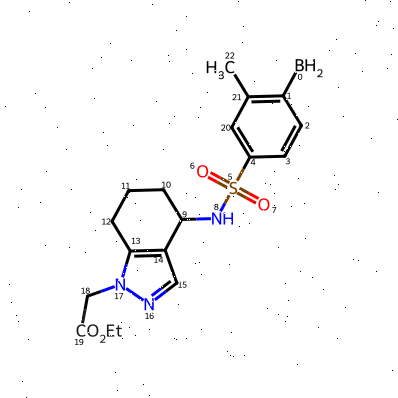 Bc1ccc(S(=O)(=O)NC2CCCc3c2cnn3CC(=O)OCC)cc1C